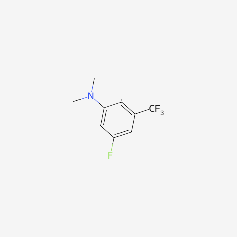 CN(C)c1[c]c(C(F)(F)F)cc(F)c1